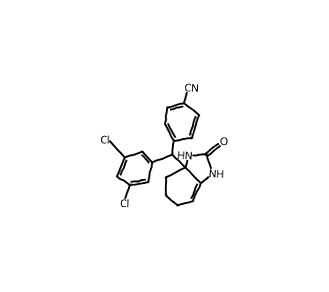 N#Cc1ccc(C(c2cc(Cl)cc(Cl)c2)C23CCCC=C2NC(=O)N3)cc1